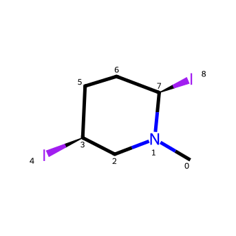 CN1C[C@@H](I)CC[C@H]1I